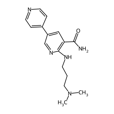 CN(C)CCCNc1ncc(-c2ccncc2)cc1C(N)=O